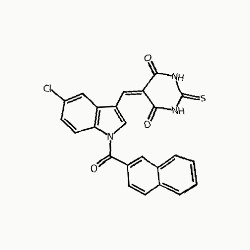 O=C1NC(=S)NC(=O)C1=Cc1cn(C(=O)c2ccc3ccccc3c2)c2ccc(Cl)cc12